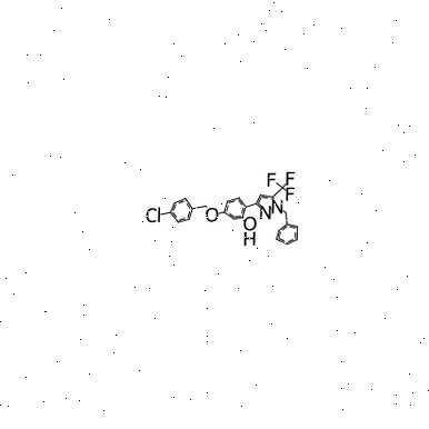 Oc1cc(OCc2ccc(Cl)cc2)ccc1-c1cc(C(F)(F)F)n(Cc2ccccc2)n1